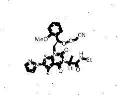 CCNC(=O)C(C)(CC)n1c(=O)c2c(C)c(-n3cccn3)sc2n(C[C@H](OCCC#N)c2ccccc2OC)c1=O